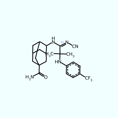 CC(C)(Nc1ccc(C(F)(F)F)cc1)/C(=N\C#N)NC1C2CC3CC1CC(C(N)=O)(C3)C2